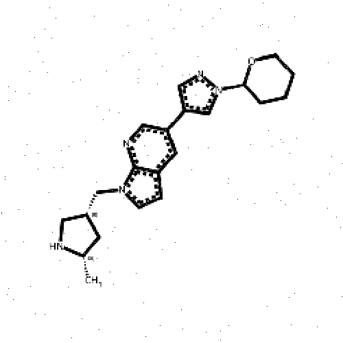 C[C@H]1C[C@@H](Cn2ccc3cc(-c4cnn(C5CCCCO5)c4)cnc32)CN1